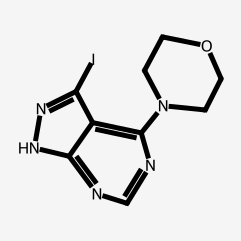 Ic1n[nH]c2ncnc(N3CCOCC3)c12